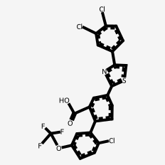 O=C(O)c1cc(-c2nc(-c3ccc(Cl)c(Cl)c3)cs2)ccc1-c1cc(OC(F)(F)F)ccc1Cl